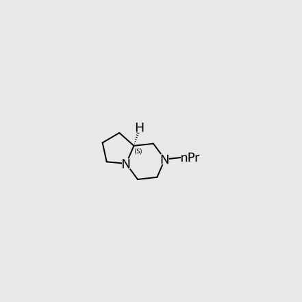 CCCN1CCN2CCC[C@H]2C1